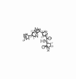 CN1CC(c2cnc3c(-c4csc(C(=O)NC5CCN(C)C5=O)c4)cnn3c2)C=N1